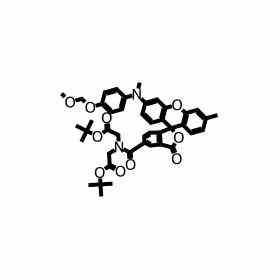 COCOc1ccc(N(C)c2ccc3c(c2)Oc2cc(C)ccc2C32OC(=O)c3cc(C(=O)N(CC(=O)OC(C)(C)C)CC(=O)OC(C)(C)C)ccc32)cc1